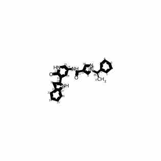 C[C@H](c1ccccc1)n1cc(C(=O)Nc2c[nH]c(=O)c(-c3cc4ccccc4[nH]3)c2)cn1